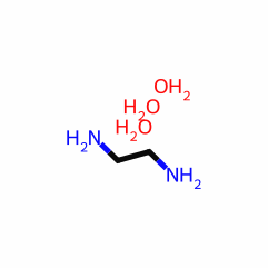 NCCN.O.O.O